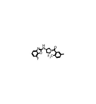 Cc1ccc(C(F)(F)F)c(C(=O)N2CC[C@@H](Nc3nc4cccc(F)c4o3)C2)c1